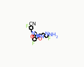 N#Cc1ccc(CN2CC[C@@]3(C2=O)c2ccc(F)cc2C(=O)N3Cc2cc3nc(N)c(F)cc3[nH]2)cc1F